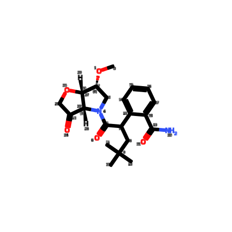 CO[C@@H]1CN(C(=O)C(CC(C)(C)C)c2ccccc2C(N)=O)[C@@H]2C(=O)CO[C@@H]21